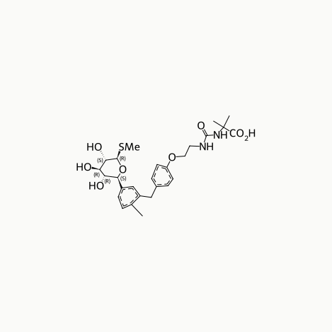 CS[C@H]1O[C@@H](c2ccc(C)c(Cc3ccc(OCCNC(=O)NC(C)(C)C(=O)O)cc3)c2)[C@H](O)[C@@H](O)[C@@H]1O